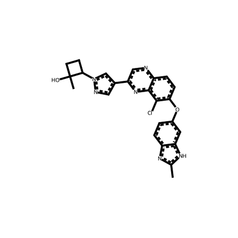 Cc1nc2ccc(Oc3ccc4ncc(-c5cnn(C6CCC6(C)O)c5)nc4c3Cl)cc2[nH]1